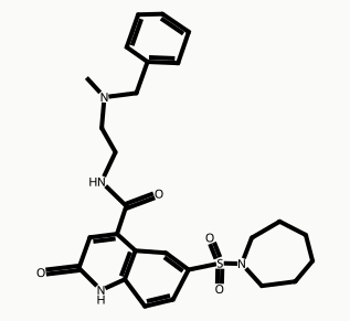 CN(CCNC(=O)c1cc(=O)[nH]c2ccc(S(=O)(=O)N3CCCCCC3)cc12)Cc1ccccc1